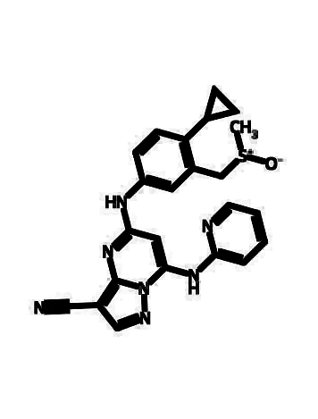 C[S+]([O-])Cc1cc(Nc2cc(Nc3ccccn3)n3ncc(C#N)c3n2)ccc1C1CC1